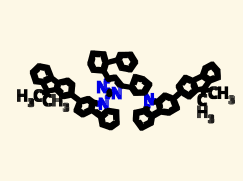 CC1(C)c2ccccc2-c2ccc(-c3ccc4c5ccccc5n(-c5cccc(-c6cc(-c7ccccc7-c7ccccc7)nc(-n7c8ccccc8c8ccc(-c9ccc%10c(c9)C(C)(C)c9ccccc9-%10)cc87)n6)c5)c4c3)cc21